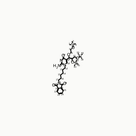 C[Si](C)(C)OCCOC(c1cn(CCCCCCN2C(=O)c3ccccc3C2=O)c(N)nc1=O)C(CO[Si](C)(C)C)O[Si](C)(C)C